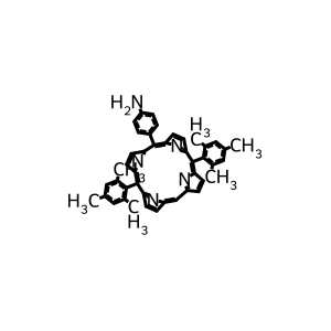 Cc1cc(C)c(C2=C3C=CC(=N3)C=C3C=CC(=N3)C(c3c(C)cc(C)cc3C)=C3C=CC(=N3)C(c3ccc(N)cc3)=C3C=CC2=N3)c(C)c1